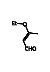 CCOC(C)=CC=O